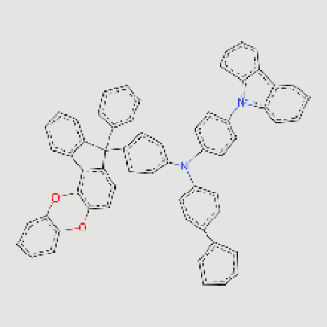 c1ccc(-c2ccc(N(c3ccc(-n4c5ccccc5c5ccccc54)cc3)c3ccc(C4(c5ccccc5)c5ccccc5-c5c4ccc4c5Oc5ccccc5O4)cc3)cc2)cc1